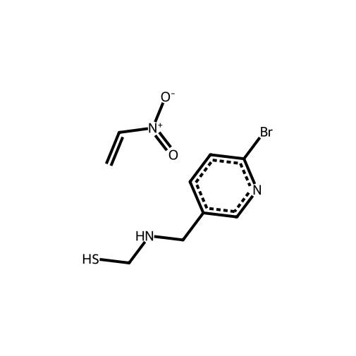 C=C[N+](=O)[O-].SCNCc1ccc(Br)nc1